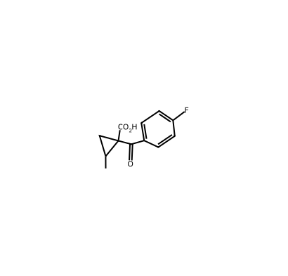 CC1CC1(C(=O)O)C(=O)c1ccc(F)cc1